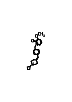 COc1cccn(Cc2ccc(C=C3CCN(C4CCC4)CC3)cc2)c1=O